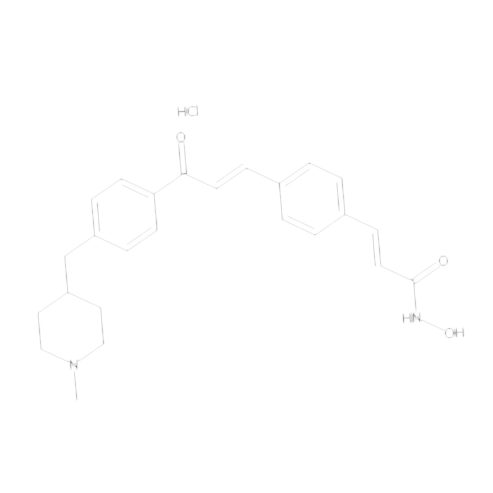 CN1CCC(Cc2ccc(C(=O)C=Cc3ccc(C=CC(=O)NO)cc3)cc2)CC1.Cl